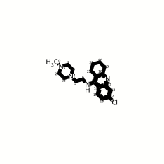 CN1CCN(CCNc2c3c(nc4cc(Cl)ccc24)CCCC3)CC1